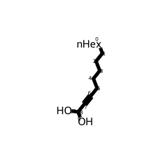 CCCCCCCCCCCC#CC(O)O